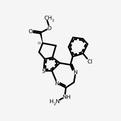 COC(=O)[C@@H]1Cc2sc3c(c2C1)C(c1ccccc1Cl)=NCC(NN)=N3